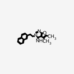 Cc1oc2ncn(CCc3ccc4ccccc4c3)c(=N)c2c1C